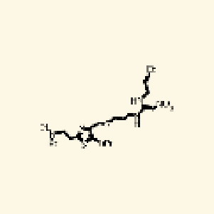 CCC=CCNC(=C[N+](=O)[O-])NCCCSCc1nc(CCN(CC)CC)sc1CCC